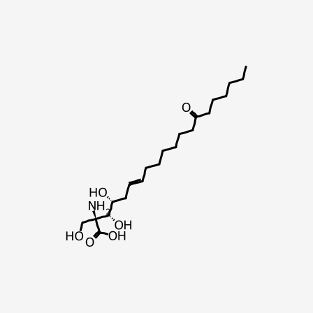 CCCCCCC(=O)CCCCCC/C=C/C[C@@H](O)[C@H](O)[C@@](N)(CO)C(=O)O